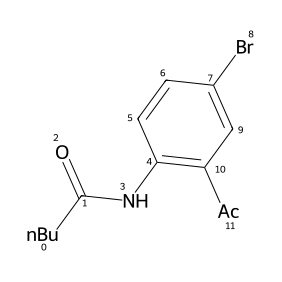 CCCCC(=O)Nc1ccc(Br)cc1C(C)=O